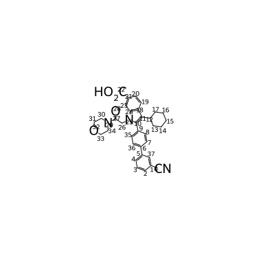 N#Cc1cccc(-c2ccc(-c3c(C4CCCCC4)c4ccc(C(=O)O)cc4n3CC(=O)N3CCOCC3)cc2)c1